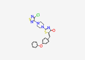 O=C1N=C(N2CCN(c3nsnc3Cl)CC2)SC1=Cc1ccc(Oc2ccccc2)cc1